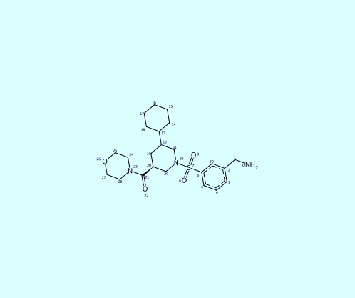 NCc1cccc(S(=O)(=O)N2CC(C3CCCCC3)C[C@H](C(=O)N3CCOCC3)C2)c1